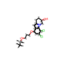 CC(C)(C)[Si](C)(C)OCCCOc1cc(Cl)c(Cl)c2c1cc1n2CC(O)CC1